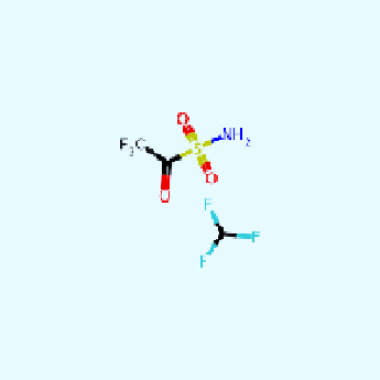 FC(F)F.NS(=O)(=O)C(=O)C(F)(F)F